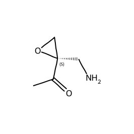 CC(=O)[C@]1(CN)CO1